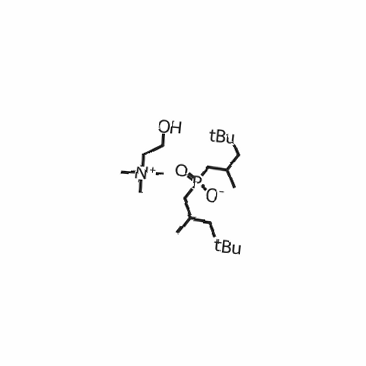 CC(CC(C)(C)C)CP(=O)([O-])CC(C)CC(C)(C)C.C[N+](C)(C)CCO